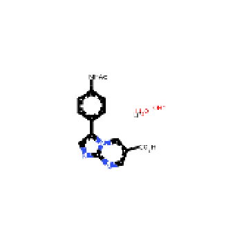 CC(=O)Nc1ccc(-c2cnc3ncc(C(=O)O)cn23)cc1.O.[Li+].[OH-]